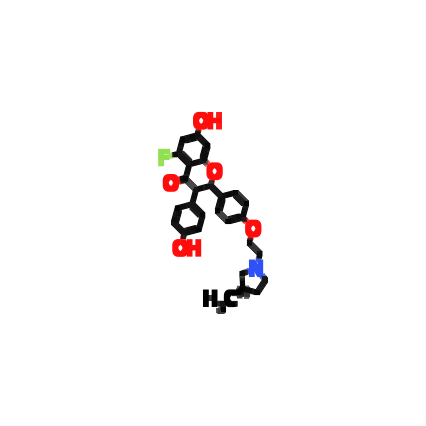 C[C@@H]1CCN(CCOc2ccc(C3Oc4cc(O)cc(F)c4C(=O)C3c3ccc(O)cc3)cc2)C1